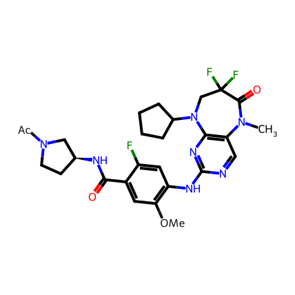 COc1cc(C(=O)N[C@H]2CCN(C(C)=O)C2)c(F)cc1Nc1ncc2c(n1)N(C1CCCC1)CC(F)(F)C(=O)N2C